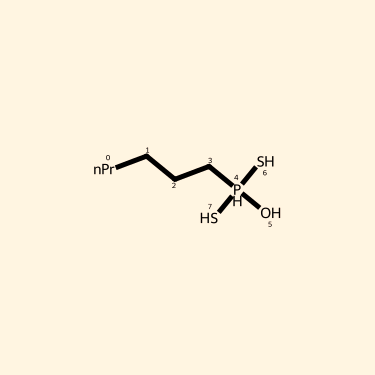 CCCCCC[PH](O)(S)S